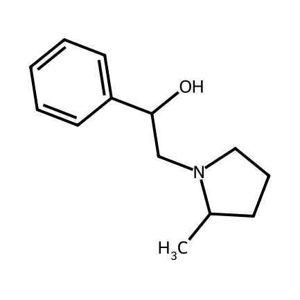 CC1CCCN1CC(O)c1ccccc1